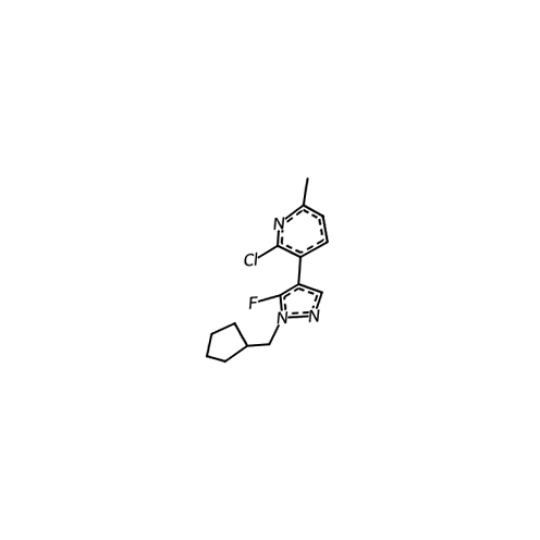 Cc1ccc(-c2cnn(CC3CCCC3)c2F)c(Cl)n1